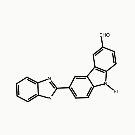 CCn1c2ccc(C=O)cc2c2cc(-c3nc4ccccc4s3)ccc21